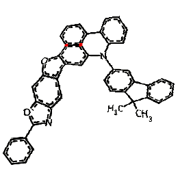 CC1(C)c2ccccc2-c2cc(N(c3ccc4oc5cc6oc(-c7ccccc7)nc6cc5c4c3)c3ccccc3-c3ccccc3)ccc21